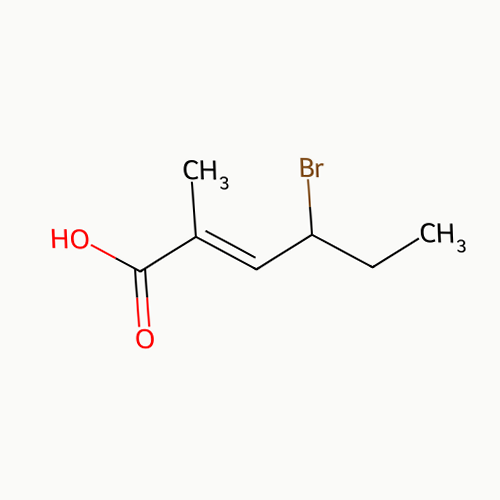 CCC(Br)/C=C(\C)C(=O)O